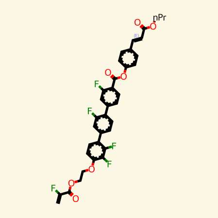 C=C(F)C(=O)OCCOc1ccc(-c2ccc(-c3ccc(C(=O)Oc4ccc(/C=C/C(=O)OCCC)cc4)c(F)c3)c(F)c2)c(F)c1F